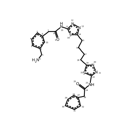 NCc1cccc(CC(=O)Nc2nnc(CCCCc3nnc(NC(=O)Cc4ccccc4)s3)s2)c1